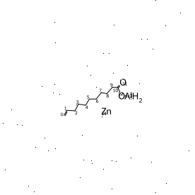 C=CCCCCCCCCC(=O)[O][AlH2].[Zn]